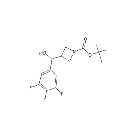 CC(C)(C)OC(=O)N1CC(C(O)c2cc(F)c(F)c(F)c2)C1